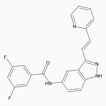 O=C(Nc1ccc2[nH]nc(C=Cc3ccccn3)c2c1)c1cc(F)cc(F)c1